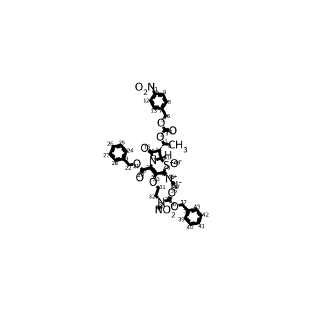 CC(OC(=O)OCc1ccc([N+](=O)[O-])cc1)[C@H]1C(=O)N2C(C(=O)OCc3ccccc3)=C(OCCN(C(=O)OCc3ccccc3)[N+](=O)[O-])C(=[N+]=[N-])[S@+]([O-])[C@@H]12